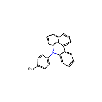 CC(C)(C)c1ccc(N2c3ccccc3-c3cccc4cccc2c34)cc1